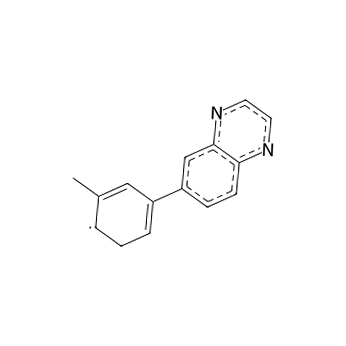 CC1=CC(c2ccc3nccnc3c2)=CC[CH]1